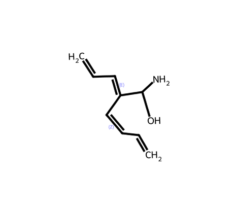 C=C/C=C\C(=C/C=C)C(N)O